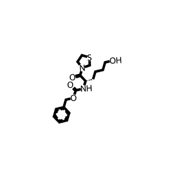 O=C(N[C@@H](CCCCO)C(=O)N1CCSC1)OCc1ccccc1